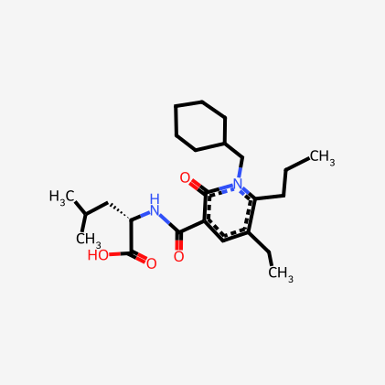 CCCc1c(CC)cc(C(=O)N[C@@H](CC(C)C)C(=O)O)c(=O)n1CC1CCCCC1